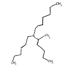 CCCCCCN(CCCCCC)C(C)CCCC